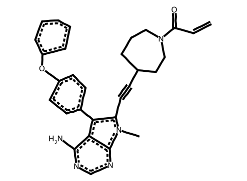 C=CC(=O)N1CCCC(C#Cc2c(-c3ccc(Oc4ccccc4)cc3)c3c(N)ncnc3n2C)CC1